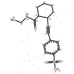 CS(=O)(=O)c1ccc(C#CC2CCCCC2C(=O)NCC#N)cc1